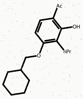 CCCc1c(OCC2CCCCC2)ccc(C(C)=O)c1O